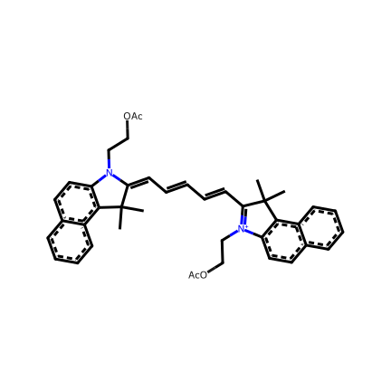 CC(=O)OCCN1/C(=C/C=C/C=C/C2=[N+](CCOC(C)=O)c3ccc4ccccc4c3C2(C)C)C(C)(C)c2c1ccc1ccccc21